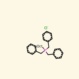 CCCCCCCC[P+](Cc1ccccc1)(Cc1ccccc1)Cc1ccccc1.[Cl-]